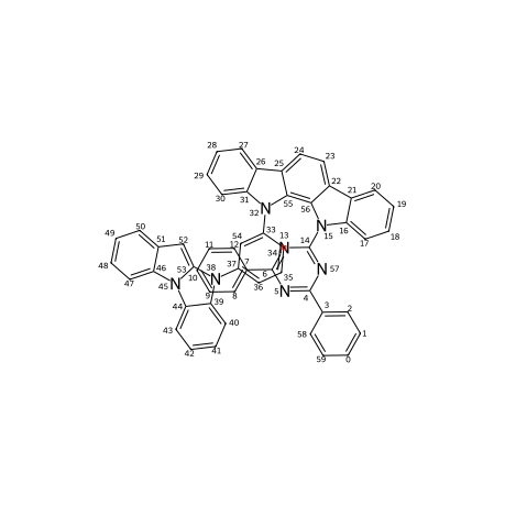 c1ccc(-c2nc(-c3ccccc3)nc(-n3c4ccccc4c4ccc5c6ccccc6n(-c6cccc(-n7c8ccccc8n8c9ccccc9cc78)c6)c5c43)n2)cc1